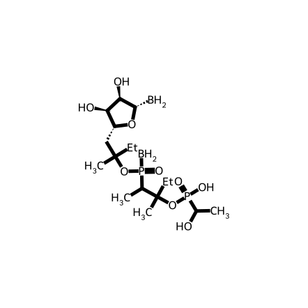 B[C@@H]1O[C@H](CC(C)(CC)OP(B)(=O)C(C)C(C)(CC)OP(=O)(O)C(C)O)[C@@H](O)[C@H]1O